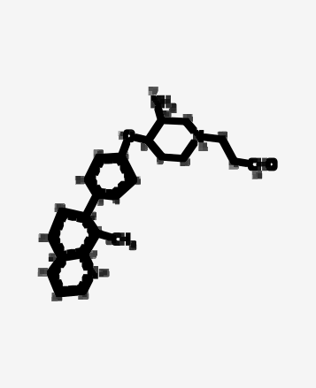 Cc1c(-c2ccc(OC3CCN(CCC=O)CC3N)cc2)ccc2cccnc12